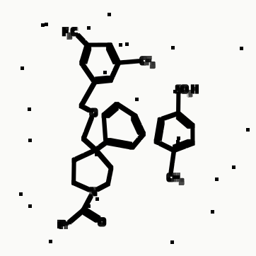 CC(C)C(=O)N1CCC(COCc2cc(C(F)(F)F)cc(C(F)(F)F)c2)(c2ccccc2)CC1.Cc1ccc(S(=O)(=O)O)cc1